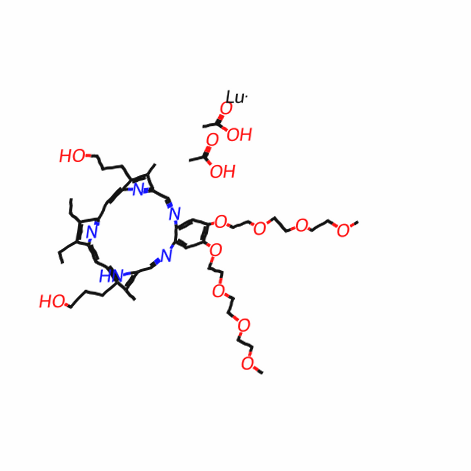 CC(=O)O.CC(=O)O.CCC1=C(CC)c2cc3[nH]c(cnc4cc(OCCOCCOCCOC)c(OCCOCCOCCOC)cc4ncc4nc(cc1n2)C(CCCO)=C4C)c(C)c3CCCO.[Lu]